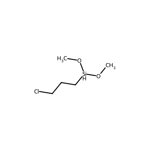 CO[SiH](CCCCl)OC